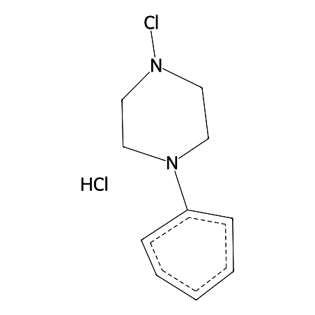 Cl.ClN1CCN(c2ccccc2)CC1